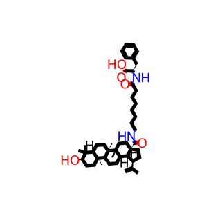 C=C(C)[C@@H]1CC[C@]2(C(=O)NCCCCCCCC(=O)N[C@@H](Cc3ccccc3)C(=O)O)CC[C@]3(C)[C@H](CCC4[C@@]5(C)CC[C@H](O)C(C)(C)[C@@H]5CC[C@]43C)[C@@H]12